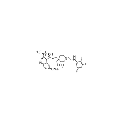 COc1ccc2ncc(N(C)C)c(C(O)CCC3(CC(=O)O)CCN(CCNc4cc(F)cc(F)c4F)CC3)c2c1